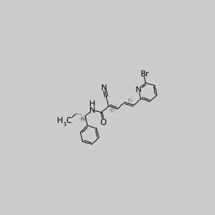 CC[C@H](NC(=O)/C(C#N)=C/C=C/c1cccc(Br)n1)c1ccccc1